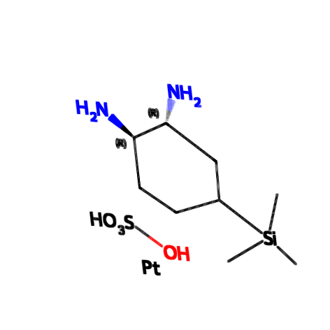 C[Si](C)(C)C1CC[C@@H](N)[C@H](N)C1.O=S(=O)(O)O.[Pt]